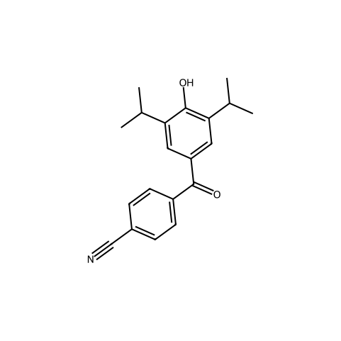 CC(C)c1cc(C(=O)c2ccc(C#N)cc2)cc(C(C)C)c1O